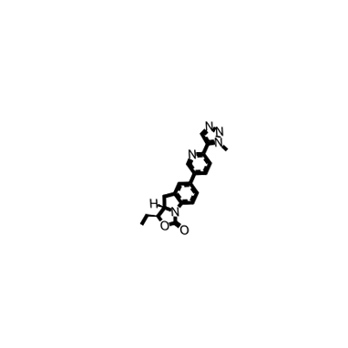 CC[C@@H]1OC(=O)N2c3ccc(-c4ccc(-c5cnnn5C)nc4)cc3C[C@@H]12